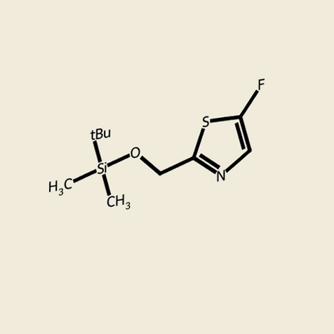 CC(C)(C)[Si](C)(C)OCc1ncc(F)s1